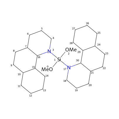 CO[Si](OC)(N1CCCC2CCC3CCCCC3C21)N1CCCC2CCC3CCCCC3C21